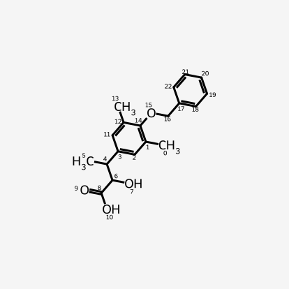 Cc1cc(C(C)C(O)C(=O)O)cc(C)c1OCc1ccccc1